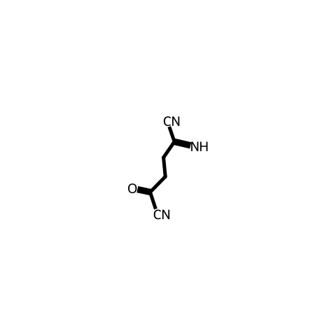 N#CC(=N)CCC(=O)C#N